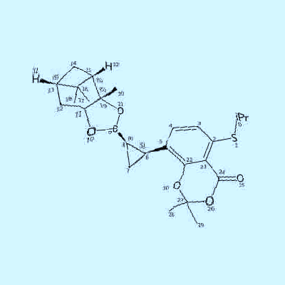 CC(C)Sc1ccc([C@H]2C[C@H]2B2OC3C[C@@H]4C[C@@H](C4(C)C)[C@]3(C)O2)c2c1C(=O)OC(C)(C)O2